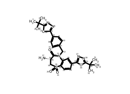 CC(C)(C)c1nnc(-c2ccc(CN3C(=O)[C@@H](N)CS(=O)(=O)c4ccc(-c5nnc(C(C)(C)C)o5)cc43)cc2)o1